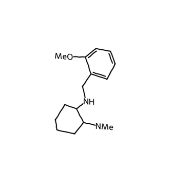 CNC1CCCCC1NCc1ccccc1OC